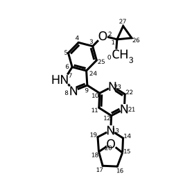 CC1(Oc2ccc3[nH]nc(-c4cc(N5CC6CCC(C5)O6)ncn4)c3c2)CC1